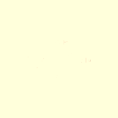 CCCCOC(=O)C1(C(=O)O)CC1